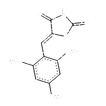 COc1cc(OC)c(/C=C2\SC(=O)NC2=O)c(OC)c1